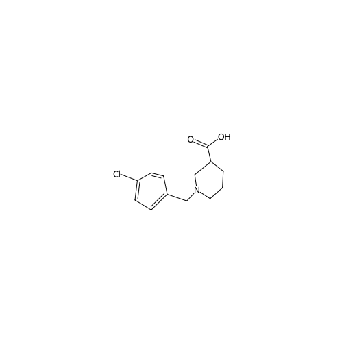 O=C(O)C1CCCN(Cc2ccc(Cl)cc2)C1